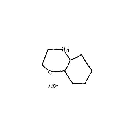 Br.C1CCC2OCCNC2C1